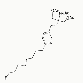 CC(=O)NC(CCc1ccc(CCCCCCCCF)cc1)(COC(C)=O)COC(C)=O